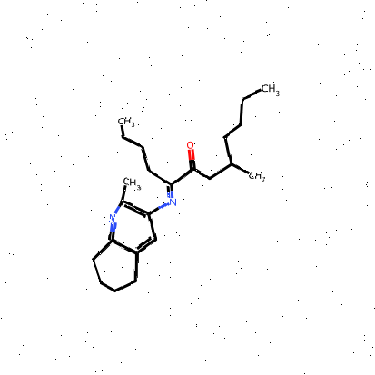 CCCC/C(=N\c1cc2c(nc1C)CCCC2)C(=O)CC(C)CCCC